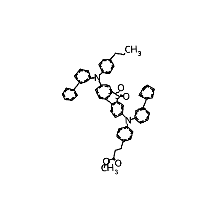 CCCc1ccc(N(c2cccc(-c3ccccc3)c2)c2ccc3c(c2)S(=O)(=O)c2cc(N(c4ccc(CCC(=O)OC)cc4)c4cccc(-c5ccccc5)c4)ccc2-3)cc1